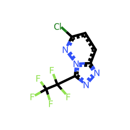 FC(F)(F)C(F)(F)c1nnc2ccc(Cl)nn12